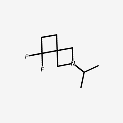 CC(C)N1CC2(CCC2(F)F)C1